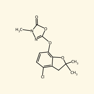 Cn1nc(Oc2ccc(Cl)c3c2OC(C)(C)C3)oc1=O